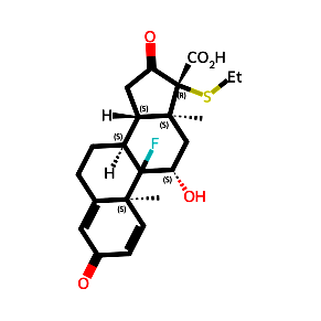 CCS[C@@]1(C(=O)O)C(=O)C[C@H]2[C@@H]3CCC4=CC(=O)C=C[C@]4(C)C3(F)[C@@H](O)C[C@@]21C